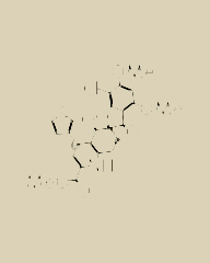 COC(=O)C1=C[C@@H](c2ccsc2)C2=C(C[C@@H](C)[C@]3(Oc4c(Cl)c(OC)cc(OC)c4C3=O)C2=O)N1